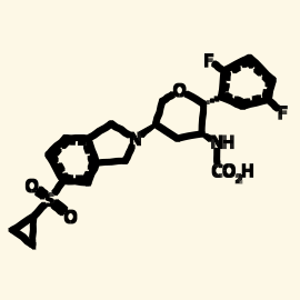 O=C(O)N[C@H]1C[C@@H](N2Cc3ccc(S(=O)(=O)C4CC4)cc3C2)CO[C@@H]1c1cc(F)ccc1F